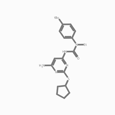 CCN(C(=O)Nc1cc(N)nc(SC2CCCC2)n1)c1ccc(C(C)(C)C)cc1